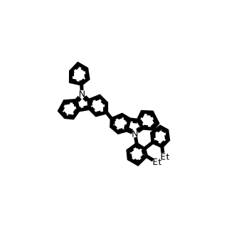 CCc1ccccc1-c1c(CC)cccc1-n1c2ccccc2c2cc(-c3ccc4c(c3)c3ccccc3n4-c3ccccc3)ccc21